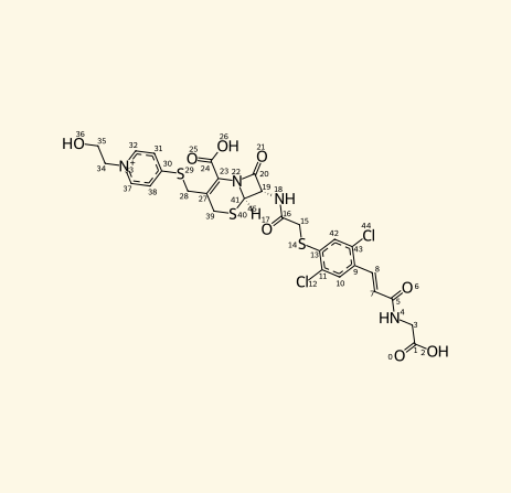 O=C(O)CNC(=O)C=Cc1cc(Cl)c(SCC(=O)N[C@H]2C(=O)N3C(C(=O)O)=C(CSc4cc[n+](CCO)cc4)CS[C@H]23)cc1Cl